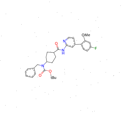 COc1cc(F)ccc1-c1ccnc(NC(=O)C2CCC(N(Cc3ccccc3)C(=O)OC(C)(C)C)CC2)c1